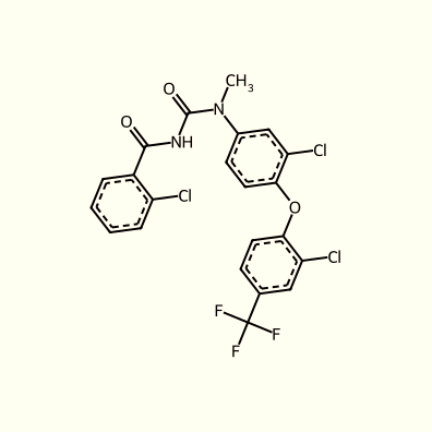 CN(C(=O)NC(=O)c1ccccc1Cl)c1ccc(Oc2ccc(C(F)(F)F)cc2Cl)c(Cl)c1